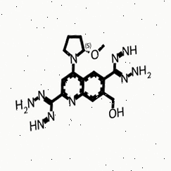 CO[C@H]1CCCN1c1cc(C(N=N)=NN)nc2cc(CO)c(C(N=N)=NN)cc12